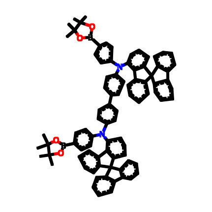 CC1(C)OB(c2ccc(N(c3ccc(-c4ccc(N(c5ccc(B6OC(C)(C)C(C)(C)O6)cc5)c5cccc6c5-c5ccccc5C65c6ccccc6-c6ccccc65)cc4)cc3)c3cccc4c3-c3ccccc3C43c4ccccc4-c4ccccc43)cc2)OC1(C)C